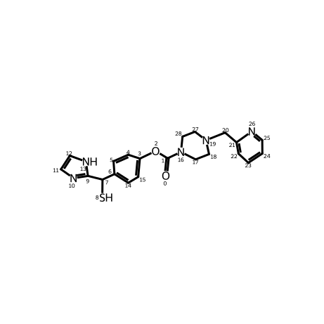 O=C(Oc1ccc(C(S)c2ncc[nH]2)cc1)N1CCN(Cc2ccccn2)CC1